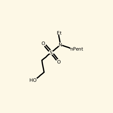 CCCCCN(CC)S(=O)(=O)CCO